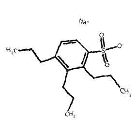 CCCc1ccc(S(=O)(=O)[O-])c(CCC)c1CCC.[Na+]